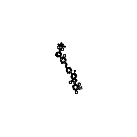 CC1(C)OB(c2cccc(N3CCN(CCC4CCN(c5cc6c(cc5F)CN(C5CCC(=O)NC5=O)C6=O)CC4)CC3=O)c2)OC1(C)C